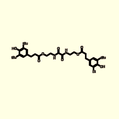 CCc1cc(CCC(=O)OCCNC(=O)C(=O)NCCOC(=O)CCc2cc(C(C)(C)C)c(O)c(C(C)(C)C)c2)cc(C(C)(C)C)c1O